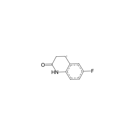 O=C1C[C]c2cc(F)ccc2N1